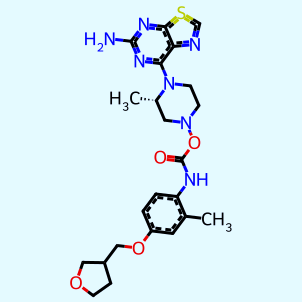 Cc1cc(OCC2CCOC2)ccc1NC(=O)ON1CCN(c2nc(N)nc3scnc23)[C@@H](C)C1